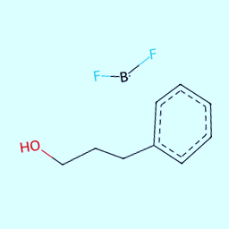 F[B]F.OCCCc1ccccc1